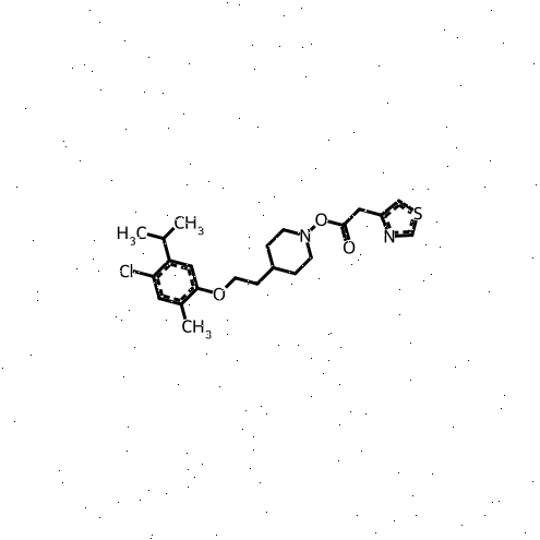 Cc1cc(Cl)c(C(C)C)cc1OCCC1CCN(OC(=O)Cc2cscn2)CC1